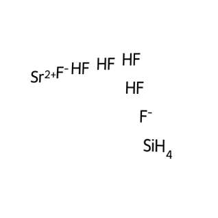 F.F.F.F.[F-].[F-].[SiH4].[Sr+2]